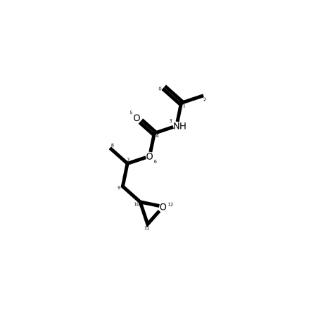 C=C(C)NC(=O)OC(C)CC1CO1